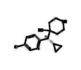 OC1([C@@H](c2ccc(Cl)cn2)C2CC2)CCNCC1